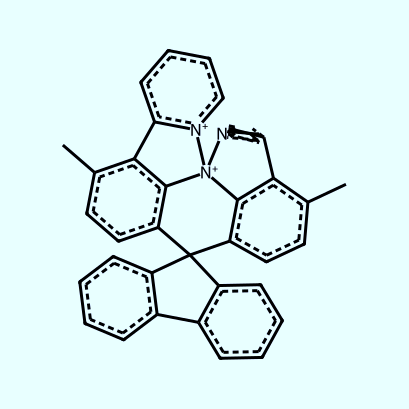 Cc1ccc2c3c1-c1cccc[n+]1[N+]31c3c(ccc(C)c3-c3cccc[n+]31)C21c2ccccc2-c2ccccc21